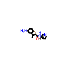 Cc1c(C(=O)N[C@H]2CN3CCC2CC3)sc2ccc(N)cc12